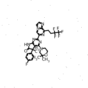 CC1(C)CN(c2nc(-c3cn4ccnc4c(CCC(F)(F)C(F)(F)F)n3)nc3c2C(C)(c2ccc(F)cc2)C(=O)N3)CCO1